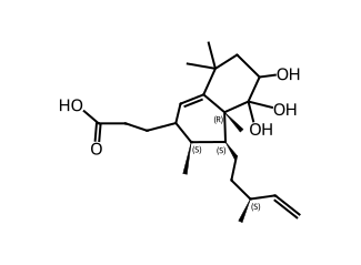 C=C[C@@H](C)CC[C@H]1[C@@H](C)C(CCC(=O)O)C=C2C(C)(C)CC(O)C(O)(O)[C@@]21C